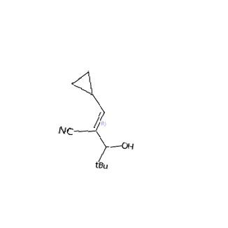 CC(C)(C)C(O)/C(C#N)=C/C1CC1